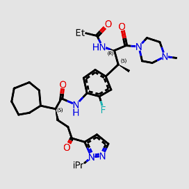 CCC(=O)N[C@@H](C(=O)N1CCN(C)CC1)[C@@H](C)c1ccc(NC(=O)[C@@H](CCC(=O)c2ccnn2C(C)C)C2CCCCCC2)c(F)c1